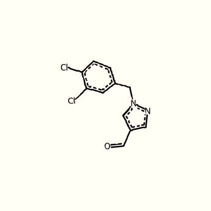 O=Cc1cnn(Cc2ccc(Cl)c(Cl)c2)c1